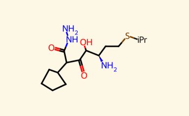 CC(C)SCC[C@@H](N)C(O)C(=O)C(C(=O)NN)C1CCCC1